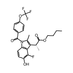 CCCCOC(=O)[C@H](C)c1c(C)n(C(=O)c2ccc(OC(F)(F)F)cc2)c2ccc(O)c(F)c12